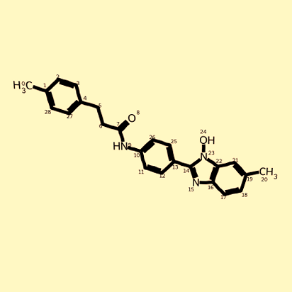 Cc1ccc(CCC(=O)Nc2ccc(-c3nc4ccc(C)cc4n3O)cc2)cc1